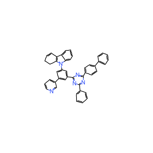 C1=Cc2c(n(-c3cc(-c4cccnc4)cc(-c4nc(-c5ccccc5)nc(-c5ccc(-c6ccccc6)cc5)n4)c3)c3ccccc23)CC1